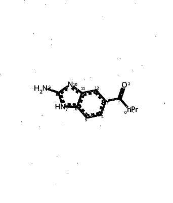 CCCC(=O)c1ccc2[nH]c(N)nc2c1